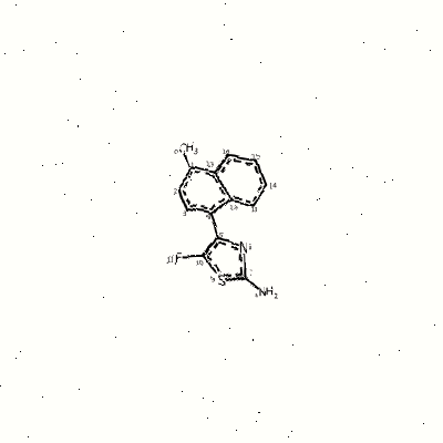 Cc1ccc(-c2nc(N)sc2F)c2ccccc12